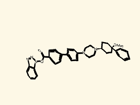 CO[C@]1(c2ccccc2)CC[C@H](N2CCN(c3ccc(-c4ccc(C(=O)On5nnc6ccccc65)cc4)cc3)CC2)CC1